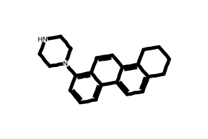 c1cc(N2CCNCC2)c2ccc3c4c(ccc3c2c1)CCCC4